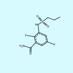 CCCS(=O)(=O)Nc1cc(F)cc(C(N)=O)c1F